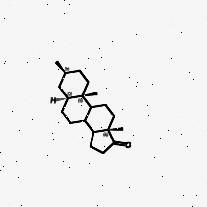 C[C@H]1CC[C@]2(C)C3CC[C@]4(C)C(=O)CCC4C3CC[C@H]2C1